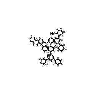 N#Cc1ccccc1-c1ccc2c(c1)c1ccccc1n2-c1ccccc1-c1ccc(-c2cc(-c3ccccc3)nc(-c3ccccc3)n2)cc1-n1c2ccccc2c2cc(-c3ccccc3C#N)ccc21